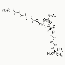 CCCCCCCCCCCCCCCCCCOCC(COP(=O)([O-])OCCCCC[N+](C)(C)C)OC(=O)CC(C)=O